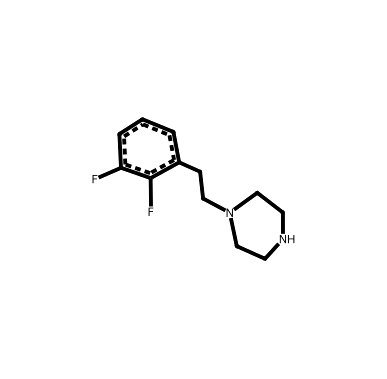 Fc1cccc(CCN2CCNCC2)c1F